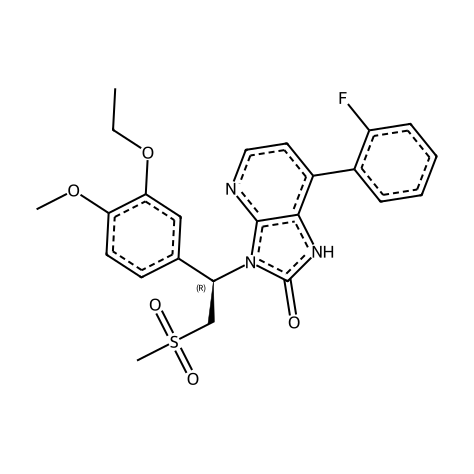 CCOc1cc([C@H](CS(C)(=O)=O)n2c(=O)[nH]c3c(-c4ccccc4F)ccnc32)ccc1OC